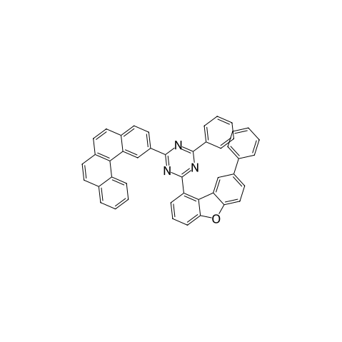 c1ccc(-c2ccc3oc4cccc(-c5nc(-c6ccccc6)nc(-c6ccc7ccc8ccc9ccccc9c8c7c6)n5)c4c3c2)cc1